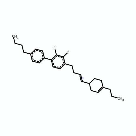 CCCCc1ccc(-c2ccc(CC/C=C/C3CC=C(CCC)CC3)c(F)c2F)cc1